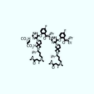 CCN(C(=O)c1cc(F)ccc1Oc1nncnc1N1CCC2(C1)CN([C@H](CCCN(C)[C@@H](C)CC(=O)N(C)C)C(C)C)C2)C(C)C.CCN(C(=O)c1cc(F)ccc1Oc1nncnc1N1CCC2(C1)CN([C@H](CCCN(C)[C@@H](C)CC(=O)N(C)C)C(C)C)C2)C(C)C.O=C(O)/C=C/C(=O)O